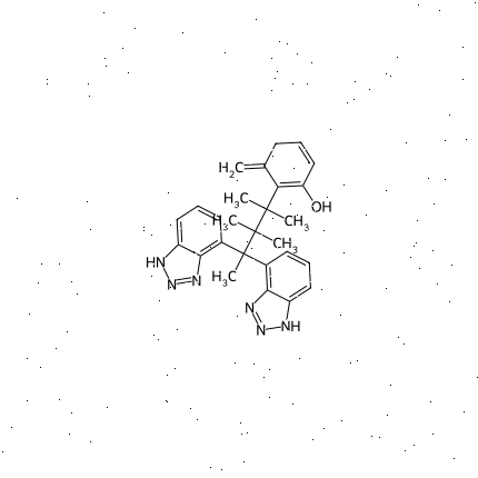 C=C1CC=CC(O)=C1C(C)(C)C(C)(C)C(C)(c1cccc2[nH]nnc12)c1cccc2[nH]nnc12